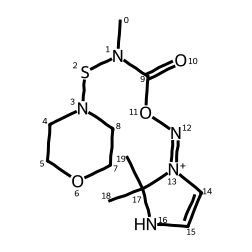 CN(SN1CCOCC1)C(=O)ON=[N+]1C=CNC1(C)C